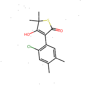 Cc1cc(Cl)c(C2=C(O)C(C)(C)SC2=O)cc1C